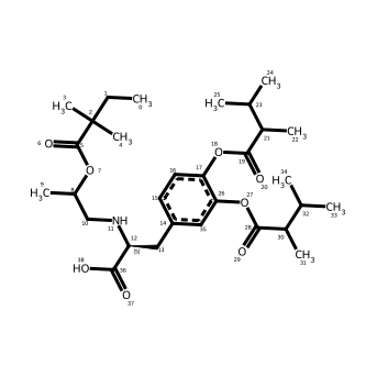 CCC(C)(C)C(=O)OC(C)CN[C@@H](Cc1ccc(OC(=O)C(C)C(C)C)c(OC(=O)C(C)C(C)C)c1)C(=O)O